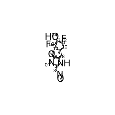 Cn1c(=CN=O)[nH]/c(=C/c2cc(F)c(O)c(F)c2)c1=O